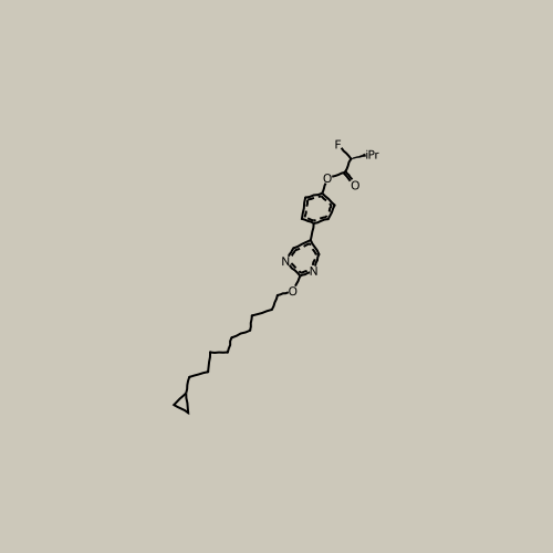 CC(C)[C@H](F)C(=O)Oc1ccc(-c2cnc(OCCCCCCCCCC3CC3)nc2)cc1